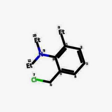 CCc1cccc(CCl)c1N(CC)CC